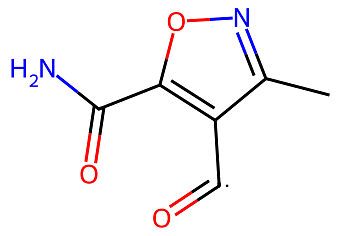 Cc1noc(C(N)=O)c1[C]=O